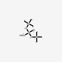 CCCCCC[Si](CC)(O[Si](C)(C)C)O[Si](C)(C)C